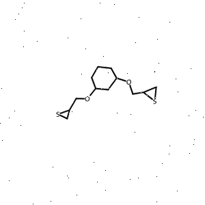 C1CC(OCC2CS2)CC(OCC2CS2)C1